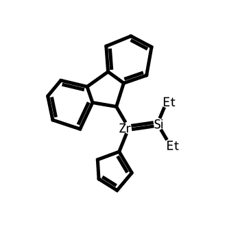 CC[Si](CC)=[Zr]([C]1=CC=CC1)[CH]1c2ccccc2-c2ccccc21